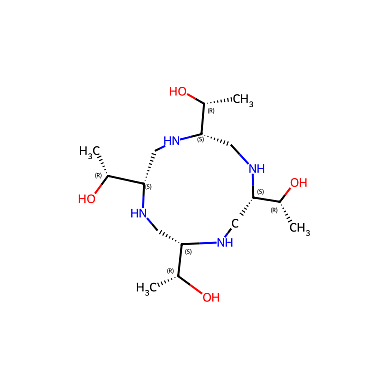 C[C@@H](O)[C@@H]1CN[C@H]([C@@H](C)O)CN[C@H]([C@@H](C)O)CN[C@H]([C@@H](C)O)CN1